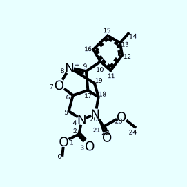 COC(=O)N1CC2O[N+]3=C(c4ccc(C)cc4)C2C(C3)N1C(=O)OC